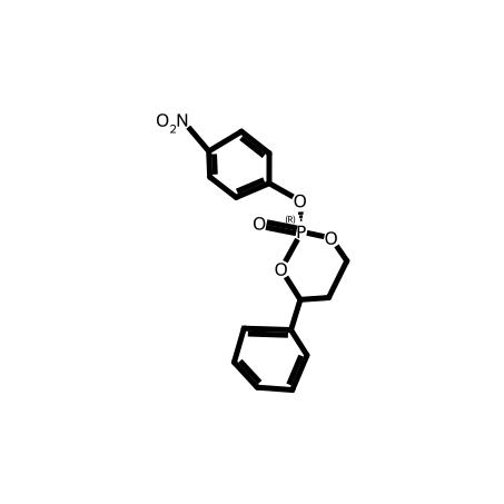 O=[N+]([O-])c1ccc(O[P@]2(=O)OCCC(c3ccccc3)O2)cc1